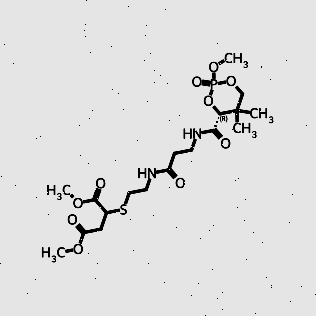 COC(=O)CC(SCCNC(=O)CCNC(=O)[C@@H]1OP(=O)(OC)OCC1(C)C)C(=O)OC